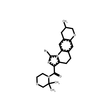 CC1COc2cc3c(cc2C1)-n1c(Br)nc(C(=O)N2CCOCC2(C)C)c1CC3